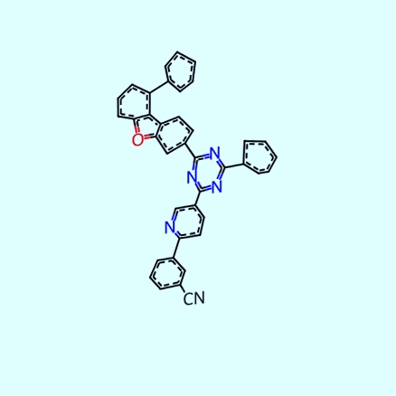 N#Cc1cccc(-c2ccc(-c3nc(-c4ccccc4)nc(-c4ccc5c(c4)oc4cccc(-c6ccccc6)c45)n3)cn2)c1